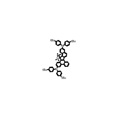 CC(C)(C)c1ccc(N(c2ccc(C(C)(C)C)cc2)c2ccc3c4c(ccc3c2)-c2c(c3ccc(N(c5ccc(C(C)(C)C)cc5)c5ccc(C(C)(C)C)cc5)cc3c3ccccc23)C4([Si](C)(C)C)[Si](C)(C)C)cc1